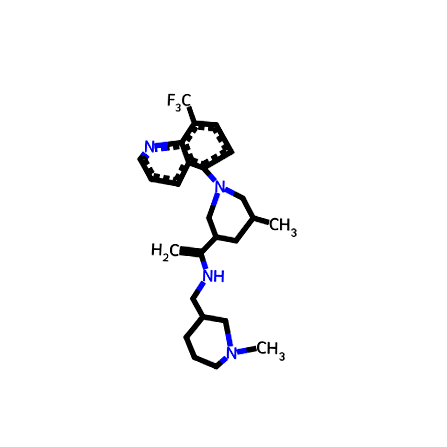 C=C(NCC1CCCN(C)C1)C1CC(C)CN(c2ccc(C(F)(F)F)c3ncccc23)C1